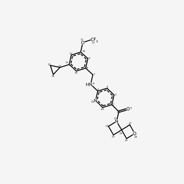 O=C(c1ccc(NCc2cc(OC(F)(F)F)cc(C3CC3)c2)nc1)N1CCC12COC2